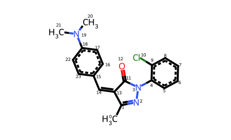 CC1=NN(c2ccccc2Cl)C(=O)C1=Cc1ccc(N(C)C)cc1